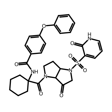 O=C(NC1(C(=O)N2CCC3C2C(=O)CN3S(=O)(=O)c2ccc[nH]c2=O)CCCCC1)c1ccc(Oc2ccccc2)cc1